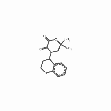 CC1(C)CN(C2CCOc3ccccc32)C(=O)C(=O)O1